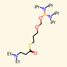 CCN(CC)CCC(=O)SCCCOCOP(N(C(C)C)C(C)C)N(C(C)C)C(C)C